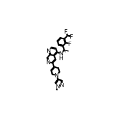 C[C@@H](Nc1ccnc2cnc(C3=CCN(c4cnn(C)c4)CC3)cc12)c1cccc(C(F)F)c1F